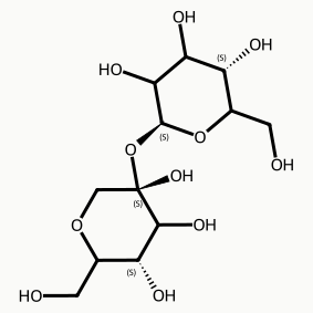 OCC1O[C@@H](O[C@@]2(O)COC(CO)[C@@H](O)C2O)C(O)C(O)[C@@H]1O